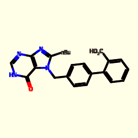 CCCCc1nc2nc[nH]c(=O)c2n1Cc1ccc(-c2ccccc2C(=O)O)cc1